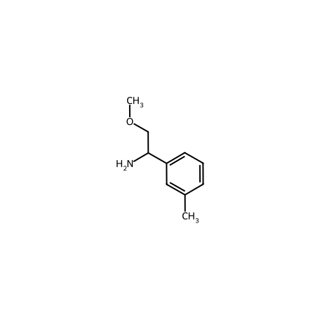 COCC(N)c1cccc(C)c1